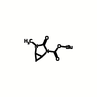 CN1C(=O)N(C(=O)OC(C)(C)C)C2CC21